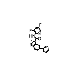 O=C(Nc1ncc(F)cc1F)c1n[nH]c2ccc(-c3cccnc3)cc12